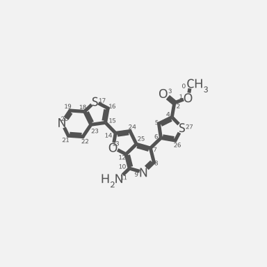 COC(=O)c1cc(-c2cnc(N)c3oc(-c4csc5cnccc45)cc23)cs1